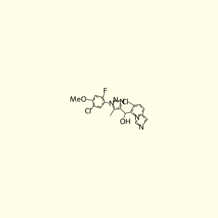 COc1cc(F)c(-n2nnc(C(O)c3c(Cl)ccc4cncn34)c2C)cc1Cl